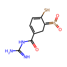 N=C(N)NC(=O)C1=CC=C(S)C(=S(=O)=O)C1